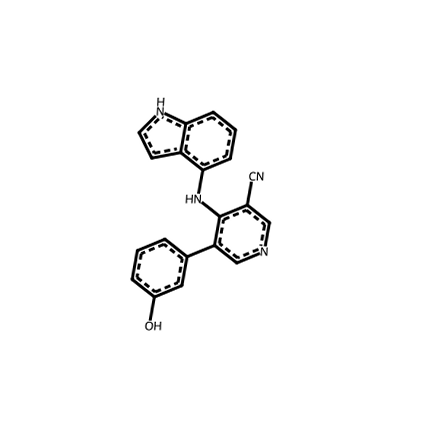 N#Cc1cncc(-c2cccc(O)c2)c1Nc1cccc2[nH]ccc12